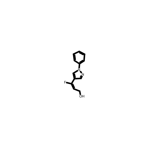 OC/C=C(/F)c1cnn(-c2ccccc2)c1